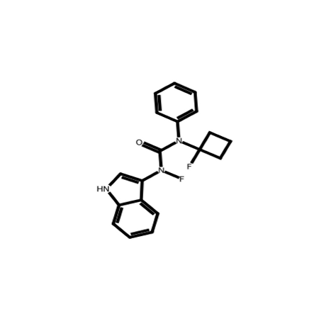 O=C(N(F)c1c[nH]c2ccccc12)N(c1ccccc1)C1(F)CCC1